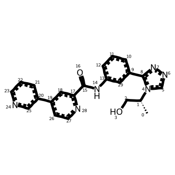 C[C@H](CO)n1cnnc1-c1cccc(NC(=O)c2cc(-c3cccnc3)ccn2)c1